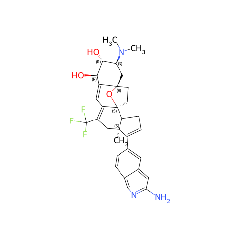 CN(C)[C@H]1C[C@@]23CC[C@@]4(O2)C(=C(C(F)(F)F)C[C@]2(C)C(c5ccc6cnc(N)cc6c5)=CCC24)C=C3[C@@H](O)[C@@H]1O